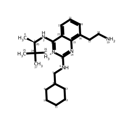 C[C@@H](Nc1nc(NCC2CCCCC2)nc2c(CCN)cccc12)C(C)(C)C